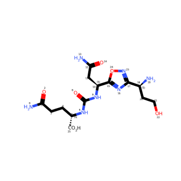 NC(=O)CC[C@H](NC(=O)N[C@@H](CC(N)=O)c1nc([C@@H](N)CCO)no1)C(=O)O